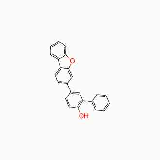 Oc1ccc(-c2ccc3c(c2)oc2ccccc23)cc1-c1ccccc1